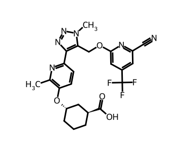 Cc1nc(-c2nnn(C)c2COc2cc(C(F)(F)F)cc(C#N)n2)ccc1O[C@H]1CCC[C@H](C(=O)O)C1